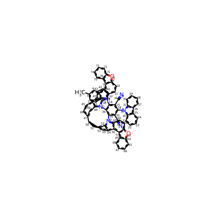 Cc1ccc2c(c1)c1c3c(ccc1n2-c1c(C#N)c(-n2c4ccccc4c4ccccc42)c(C#N)c2c1-n1c4ccccc4c4ccc(cc41)-c1ccc4c(c1)c1c5c(ccc1n4-2)oc1ccccc15)oc1ccccc13